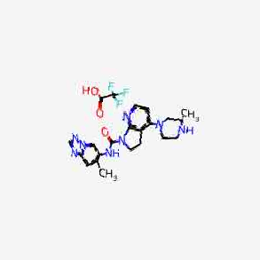 Cc1cc2ncnn2cc1NC(=O)N1CCc2c(N3CCN[C@@H](C)C3)ccnc21.O=C(O)C(F)(F)F